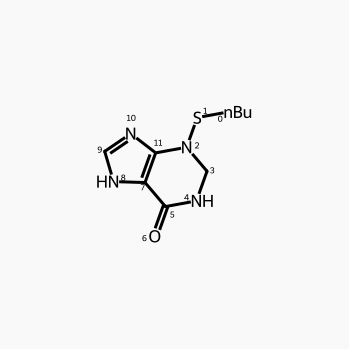 CCCCSN1CNC(=O)c2[nH]cnc21